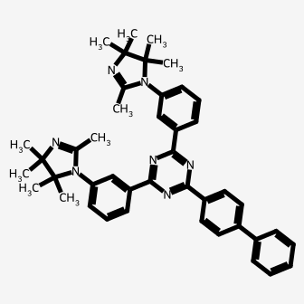 CC1=NC(C)(C)C(C)(C)N1c1cccc(-c2nc(-c3ccc(-c4ccccc4)cc3)nc(-c3cccc(N4C(C)=NC(C)(C)C4(C)C)c3)n2)c1